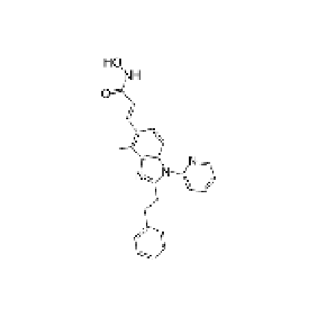 Cc1c(C=CC(=O)NO)ccc2c1nc(CCc1ccccc1)n2-c1ccccn1